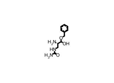 NC(=O)NC[C@H](N)C(O)OCc1ccccc1